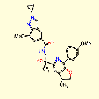 COc1ccc(-c2nc([C@](O)(CNC(=O)c3cc(OC)c4nn(C5CC5)cc4c3)C(F)(F)F)cc3c2OC[C@H]3C)cc1